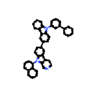 c1ccc(-c2cccc(-n3c4ccccc4c4cc(-c5ccc6c(c5)c5ccncc5n6-c5cccc6ccccc56)ccc43)c2)cc1